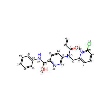 C=CC(=O)N(Cc1cccc(Cl)n1)c1ccc(C(O)Nc2ccccc2)nc1